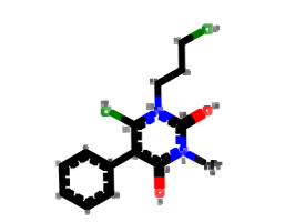 CCCn1c(=O)c(-c2ccccc2)c(Cl)n(CCCCl)c1=O